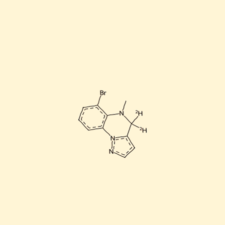 [2H]C1([2H])c2ccnn2-c2cccc(Br)c2N1C